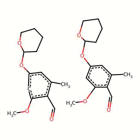 COc1cc(OC2CCCCO2)cc(C)c1C=O.COc1cc(OC2CCCCO2)cc(C)c1C=O